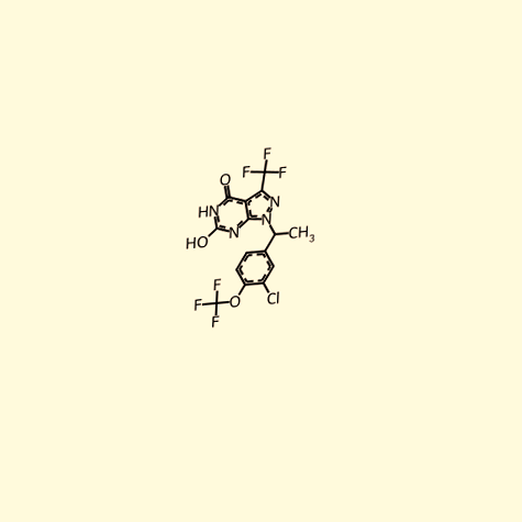 CC(c1ccc(OC(F)(F)F)c(Cl)c1)n1nc(C(F)(F)F)c2c(=O)[nH]c(O)nc21